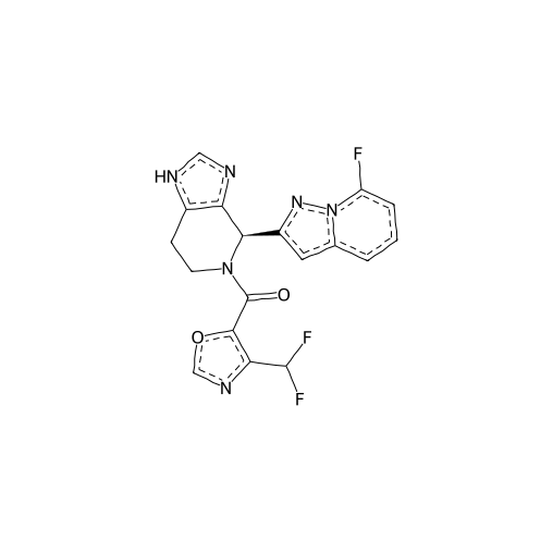 O=C(c1ocnc1C(F)F)N1CCc2[nH]cnc2[C@H]1c1cc2cccc(F)n2n1